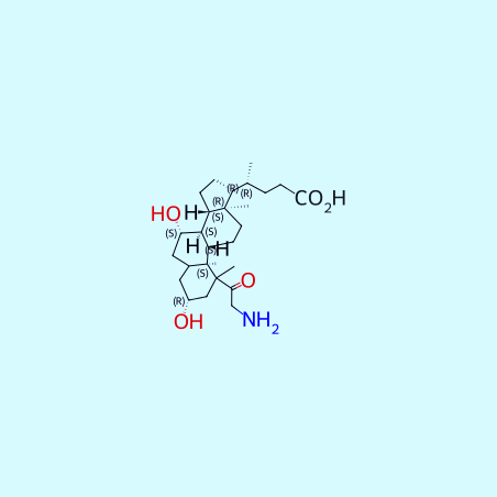 C[C@H](CCC(=O)O)[C@H]1CC[C@H]2[C@@H]3[C@@H](O)CC4C[C@@H](O)CC(C)(C(=O)CN)[C@]4(C)[C@H]3CC[C@]12C